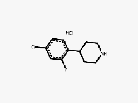 Cl.Fc1cc(Cl)ccc1C1CCNCC1